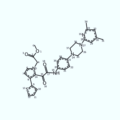 COC(=O)Cn1ccc(-c2cccs2)c1C(=O)C(=O)Nc1ccc(N2CCN(c3cc(C)cc(C)n3)CC2)cc1